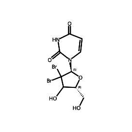 O=c1ccn([C@H]2O[C@H](CO)C(O)C2(Br)Br)c(=O)[nH]1